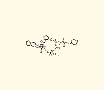 CN1CC(=O)N2C[C@H](NC(=O)CCc3ccncc3)C[C@H]2COc2ccc(F)cc2C(=O)N(C)[C@H](C(=O)NCc2ccc3ccccc3c2)CCC1=O